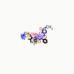 CCN1CCN(C(=O)NC(C(=O)N[C@]2(SC)C(=O)N3C(C(=O)O)=C(CSc4nnnn4C)CS[C@@H]32)c2ccccc2)C(=O)C1=O